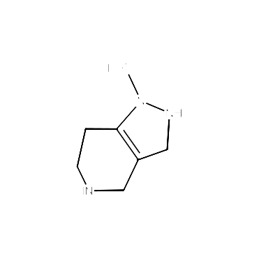 CN1NCC2=C1CCNC2